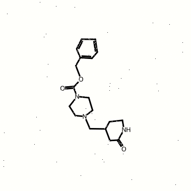 O=C1CC(CN2CCN(C(=O)OCc3ccccc3)CC2)CCN1